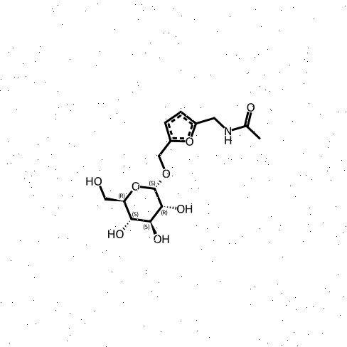 CC(=O)NCc1ccc(CO[C@H]2O[C@H](CO)[C@@H](O)[C@H](O)[C@H]2O)o1